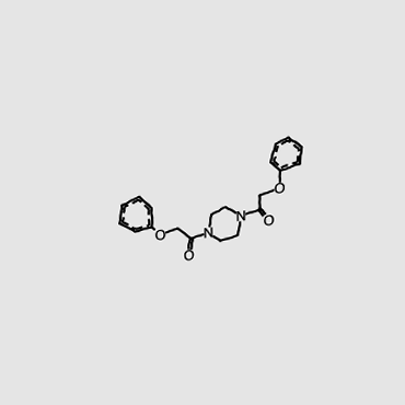 O=C(COc1ccccc1)N1CCN(C(=O)COc2ccccc2)CC1